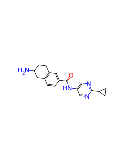 NC1CCc2cc(C(=O)Nc3cnc(C4CC4)nc3)ccc2C1